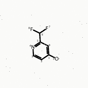 [O]c1ccnc(C(F)F)c1